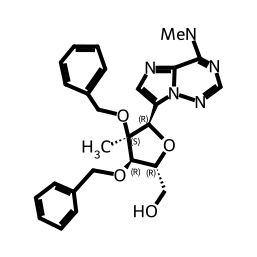 CNc1ncnn2c([C@H]3O[C@H](CO)[C@@H](OCc4ccccc4)[C@@]3(C)OCc3ccccc3)cnc12